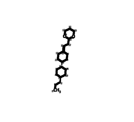 CCC[C@H]1CC[C@H](C2CCC(=CCC3OCCCO3)CC2)CC1